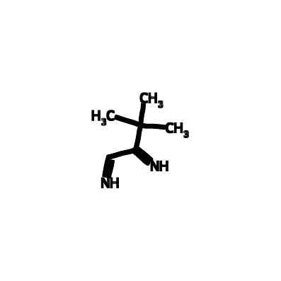 CC(C)(C)C(=N)C=N